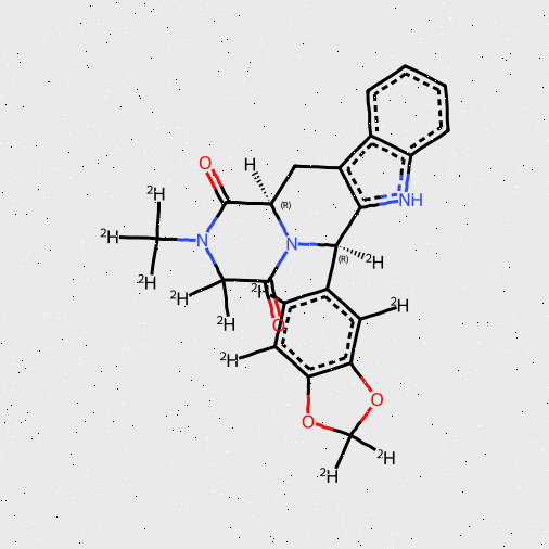 [2H]c1c([2H])c([C@]2([2H])c3[nH]c4ccccc4c3C[C@@H]3C(=O)N(C([2H])([2H])[2H])C([2H])([2H])C(=O)N32)c([2H])c2c1OC([2H])([2H])O2